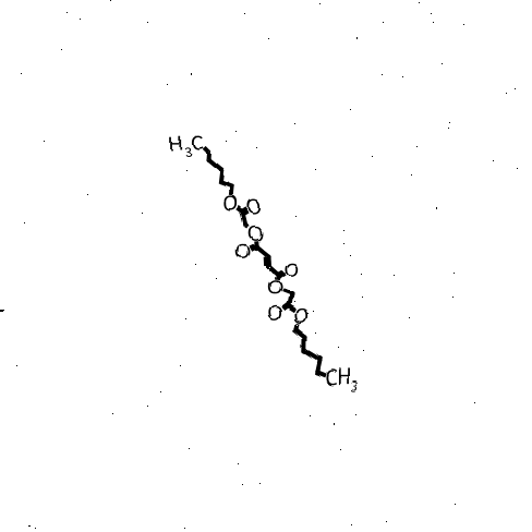 CCCCCCOC(=O)COC(=O)/C=C/C(=O)OCC(=O)OCCCCCC